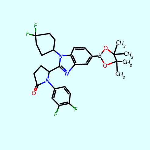 CC1(C)OB(c2ccc3c(c2)nc(C2CCC(=O)N2c2ccc(F)c(F)c2)n3C2CCC(F)(F)CC2)OC1(C)C